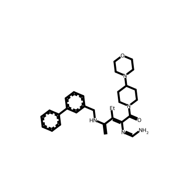 C=C(NCc1cccc(-c2ccccc2)c1)/C(CC)=C(\N=C/N)C(=O)N1CCC(N2CCOCC2)CC1